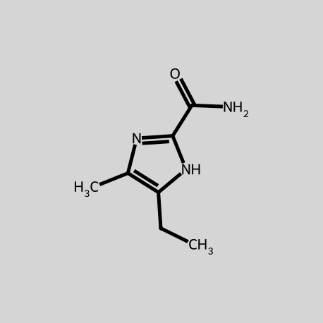 CCc1[nH]c(C(N)=O)nc1C